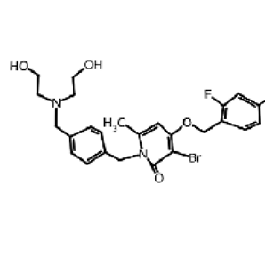 Cc1cc(OCc2ccc(F)cc2F)c(Br)c(=O)n1Cc1ccc(CN(CCO)CCO)cc1